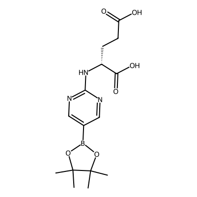 CC1(C)OB(c2cnc(N[C@H](CCC(=O)O)C(=O)O)nc2)OC1(C)C